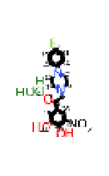 Cl.Cl.O=C(CN1CCN(c2ccc(F)cc2)CC1)c1cc(O)c(O)c([N+](=O)[O-])c1